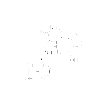 NC(=O)C(CNC(=O)c1sccc1B(O)O)NC(=O)c1sccc1B(O)O